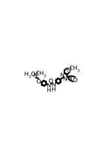 CN(C)CCOc1ccc(NC(=O)Nc2ccc(-c3nc4c(c(N5C6CCC5COC6)n3)CN(C)CC4)cc2)cc1